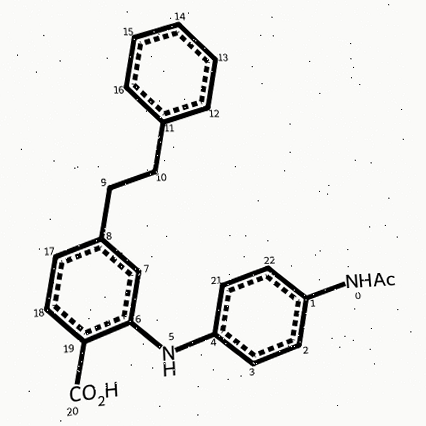 CC(=O)Nc1ccc(Nc2cc(CCc3ccccc3)ccc2C(=O)O)cc1